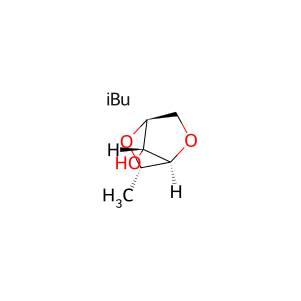 CC[C@H](C)[C@@]12CO[C@@H]([C@H](C)O1)[C@@H]2O